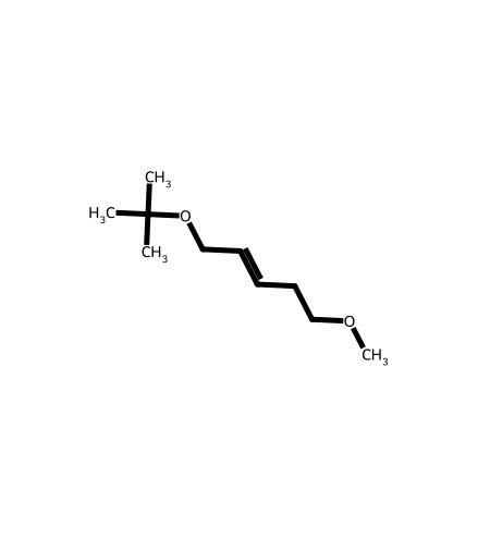 COCC/C=C/COC(C)(C)C